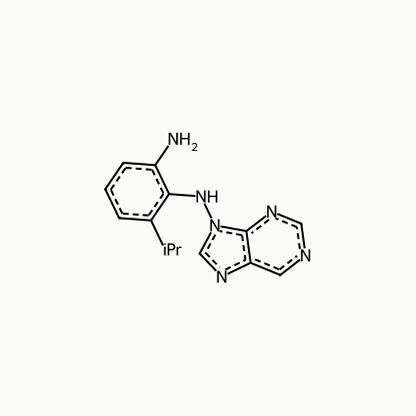 CC(C)c1cccc(N)c1Nn1cnc2cncnc21